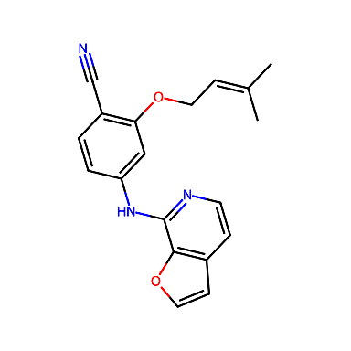 CC(C)=CCOc1cc(Nc2nccc3ccoc23)ccc1C#N